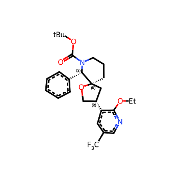 CCOc1ncc(C(F)(F)F)cc1[C@@H]1CO[C@]2(CCCN(C(=O)OC(C)(C)C)[C@H]2c2ccccc2)C1